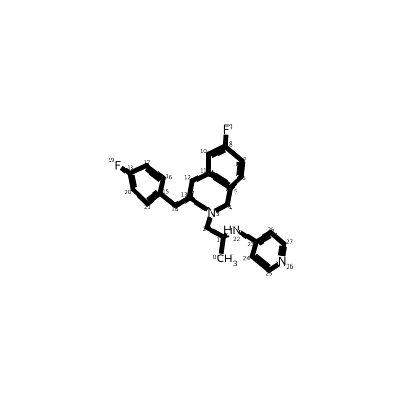 CC(CN1Cc2ccc(F)cc2CC1Cc1ccc(F)cc1)Nc1ccncc1